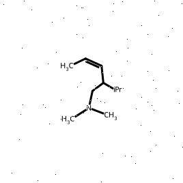 C/C=C\C(CN(C)C)C(C)C